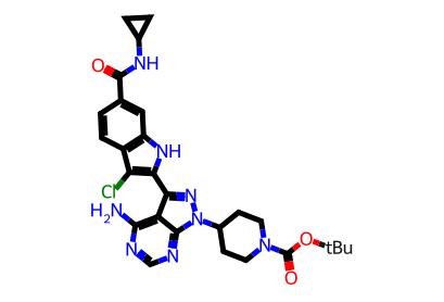 CC(C)(C)OC(=O)N1CCC(n2nc(-c3[nH]c4cc(C(=O)NC5CC5)ccc4c3Cl)c3c(N)ncnc32)CC1